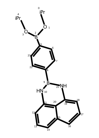 CC(C)OB(OC(C)C)c1ccc(B2Nc3cccc4cccc(c34)N2)cc1